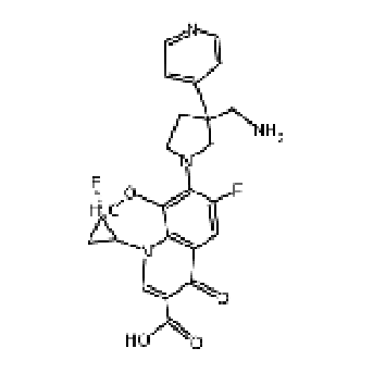 COc1c(N2CCC(CN)(c3ccncc3)C2)c(F)cc2c(=O)c(C(=O)O)cn(C3C[C@@H]3F)c12